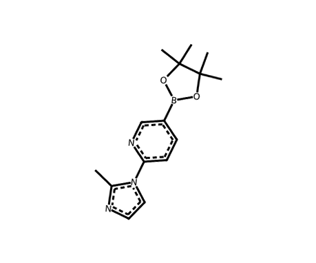 Cc1nccn1-c1ccc(B2OC(C)(C)C(C)(C)O2)cn1